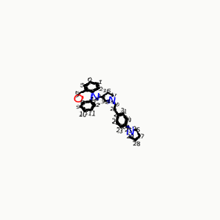 c1ccc2c(c1)COc1ccccc1N2C1CCN(CCc2ccc(N3CCCC3)cc2)C1